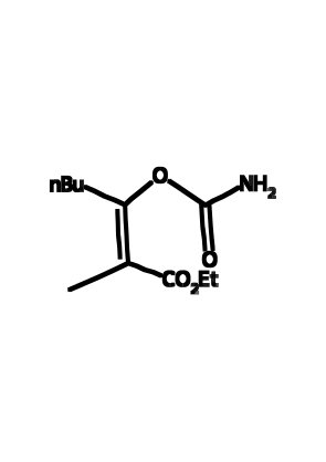 CCCCC(OC(N)=O)=C(C)C(=O)OCC